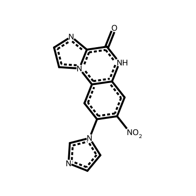 O=c1[nH]c2cc([N+](=O)[O-])c(-n3ccnc3)cc2n2ccnc12